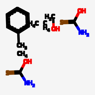 C.C.C.CO.Cc1ccccc1.NC(O)=S.NC(O)=S